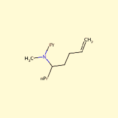 C=CCCC(CCC)N(C)C(C)C